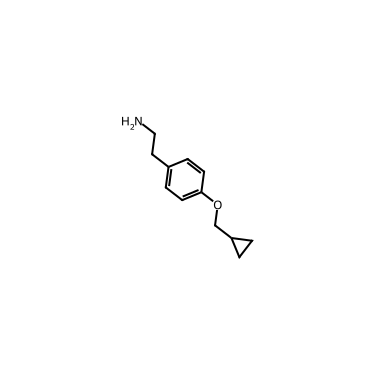 NCCc1ccc(OCC2CC2)cc1